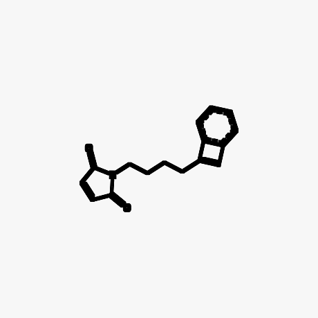 O=C1C=CC(=O)N1CCCCC1=Cc2ccccc21